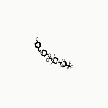 C[C@@H]1CN(c2ncc(C(F)(F)F)cn2)C[C@H](C)N1C(=O)OC1CCN(Cc2ccc(Cl)cc2)CC1